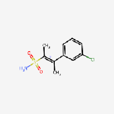 C/C(=C(/C)S(N)(=O)=O)c1cccc(Cl)c1